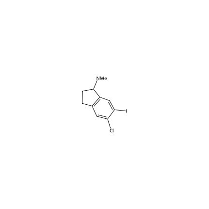 CNC1CCc2cc(Cl)c(I)cc21